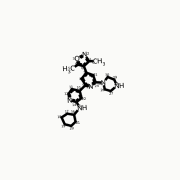 Cc1noc(C)c1-c1cc(-c2ccnc(NC3CCCCC3)c2)nc(N2CCNCC2)c1